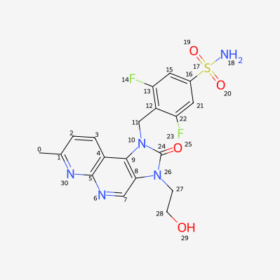 Cc1ccc2c(ncc3c2n(Cc2c(F)cc(S(N)(=O)=O)cc2F)c(=O)n3CCO)n1